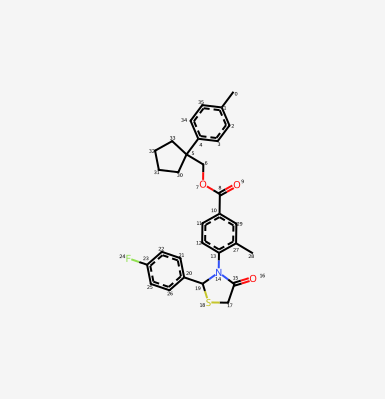 Cc1ccc(C2(COC(=O)c3ccc(N4C(=O)CSC4c4ccc(F)cc4)c(C)c3)CCCC2)cc1